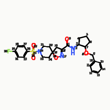 O=C(NC1CCCC1OCc1ccccc1)C1=NOC2(CCN(S(=O)(=O)c3ccc(F)cc3)CC2)C1